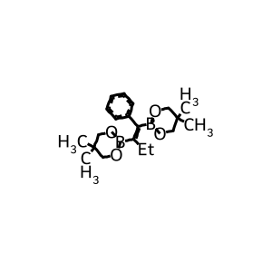 CCC(B1OCC(C)(C)CO1)=C(B1OCC(C)(C)CO1)c1ccccc1